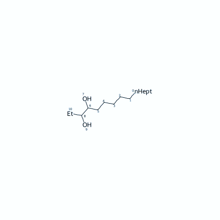 CCCCCCCCCCCCC(O)C(O)CC